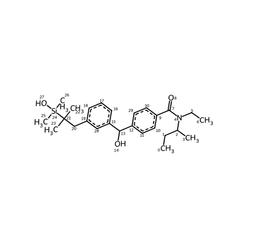 CCC(C)N(CC)C(=O)c1ccc(C(O)c2cccc(CC(C)(C)[Si](C)(C)O)c2)cc1